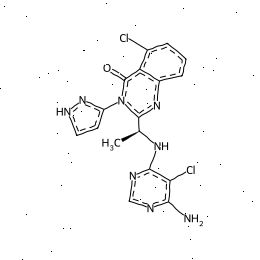 C[C@H](Nc1ncnc(N)c1Cl)c1nc2cccc(Cl)c2c(=O)n1-c1cc[nH]n1